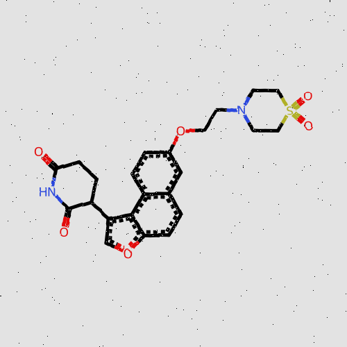 O=C1CCC(c2coc3ccc4cc(OCCN5CCS(=O)(=O)CC5)ccc4c23)C(=O)N1